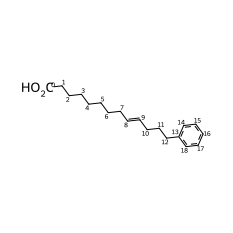 O=C(O)CCCCCCCC=CCCCc1ccccc1